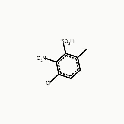 Cc1ccc(Cl)c([N+](=O)[O-])c1S(=O)(=O)O